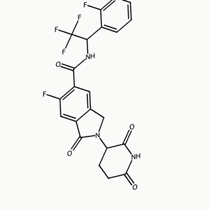 O=C1CCC(N2Cc3cc(C(=O)NC(c4ccccc4F)C(F)(F)F)c(F)cc3C2=O)C(=O)N1